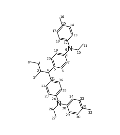 CCC(C)C(c1ccc(N(CC)c2ccc(C)cc2)cc1)c1ccc(N(CC)c2ccc(C)cc2)cc1